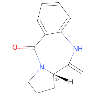 C=C1Nc2ccccc2C(=O)N2CCC[C@@H]12